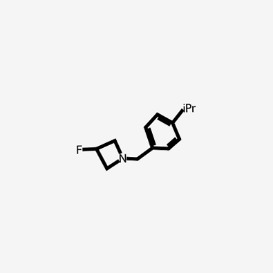 CC(C)c1ccc(CN2CC(F)C2)cc1